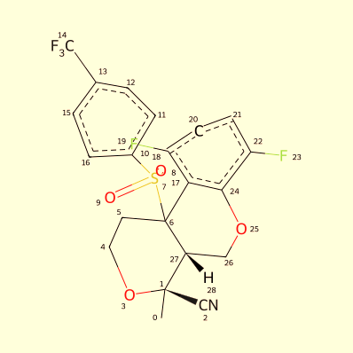 C[C@]1(C#N)OCCC2(S(=O)(=O)c3ccc(C(F)(F)F)cc3)c3c(F)ccc(F)c3OC[C@@H]21